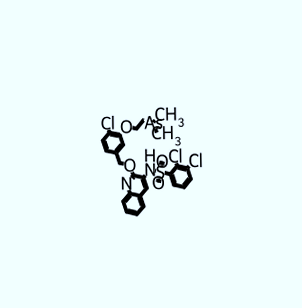 C[As](C)CCOc1cc(COc2nc3ccccc3cc2NS(=O)(=O)c2cccc(Cl)c2Cl)ccc1Cl